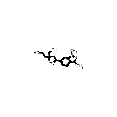 Cc1nn(C)c2cc(C3=NOC(CO)(CCO)C3)ccc12